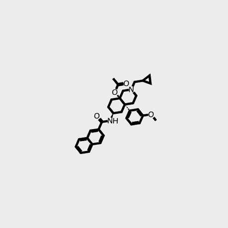 COc1cccc([C@@]23CCN(CC4CC4)C[C@@]2(OC(C)=O)CC[C@H](NC(=O)c2ccc4ccccc4c2)C3)c1